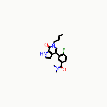 CC=CCn1cc(-c2cc(C(=O)N(C)C)ccc2F)c2cc[nH]c2c1=O